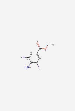 CCOC(=O)c1cc(I)c(N)c(I)c1